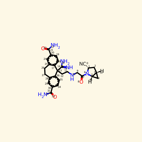 N#C[C@@H]1C[C@@H]2C[C@@H]2N1C(=O)CNCCC1(C(=N)N)c2ccc(C(N)=O)cc2CCc2cc(C(N)=O)ccc21